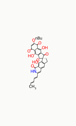 C/C=C/C=C/c1cc2cc3c(c(O)c2c(=O)[nH]1)[C@@]1(CC3)C(=O)c2c(O)c3c(c(O)c2C1=O)C(=O)C(OCCCC)=CC3=O